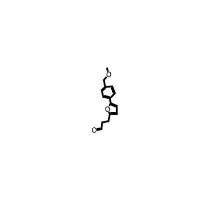 COCc1ccc(-c2ccc(CCC=O)o2)cc1